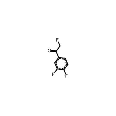 O=C(CF)c1ccc(F)c(F)c1